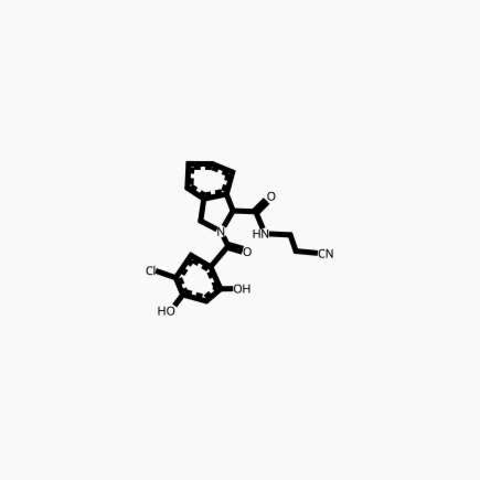 N#CCCNC(=O)C1c2ccccc2CN1C(=O)c1cc(Cl)c(O)cc1O